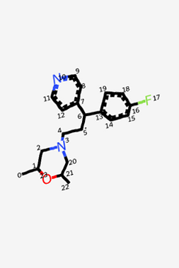 CC1CN(C[CH]C(c2ccncc2)c2ccc(F)cc2)CC(C)O1